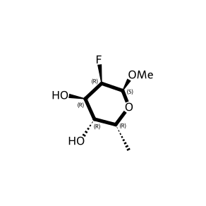 CO[C@H]1O[C@H](C)[C@H](O)[C@@H](O)[C@H]1F